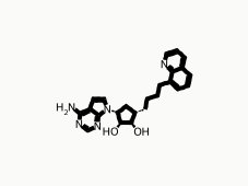 Nc1ncnc2c1ccn2[C@@H]1C[C@H](CCCCc2cccc3cccnc23)[C@@H](O)[C@H]1O